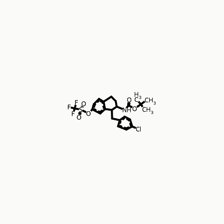 CC(C)(C)OC(=O)NC1CCc2ccc(OS(=O)(=O)C(F)(F)F)cc2C1Cc1ccc(Cl)cc1